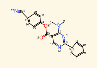 CN(C)c1nc(-c2ccccc2)ncc1C(=O)Oc1ccc(C#N)cc1